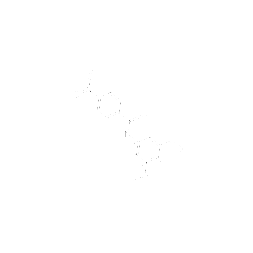 COc1cc(NC(=S)c2ccc([N+](=O)[O-])cc2)cc(OC)c1